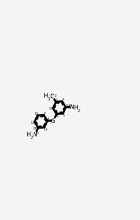 Cc1cc(N)cc(Sc2cccc(N)c2)c1